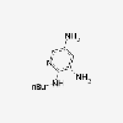 CCCCNc1ncc(N)cc1N